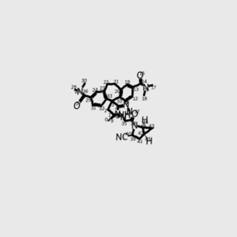 C[C@@H](CC1(c2nnnn2C)c2ccc(C(=O)N(C)C)cc2CCc2cc(C(=O)N(C)C)ccc21)NCC(=O)N1[C@H](C#N)C[C@@H]2C[C@@H]21